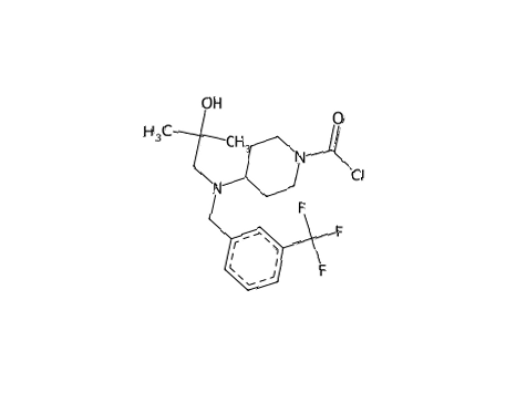 CC(C)(O)CN(Cc1cccc(C(F)(F)F)c1)C1CCN(C(=O)Cl)CC1